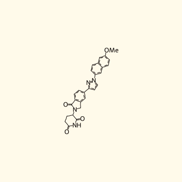 COc1ccc2cc(-n3ccc(-c4ccc5c(c4)CN(C4CCC(=O)NC4=O)C5=O)n3)ccc2c1